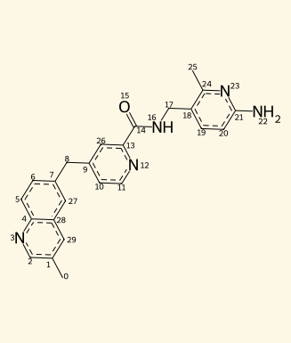 Cc1cnc2ccc(Cc3ccnc(C(=O)NCc4ccc(N)nc4C)c3)cc2c1